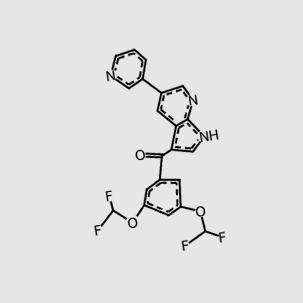 O=C(c1cc(OC(F)F)cc(OC(F)F)c1)c1c[nH]c2ncc(-c3cccnc3)cc12